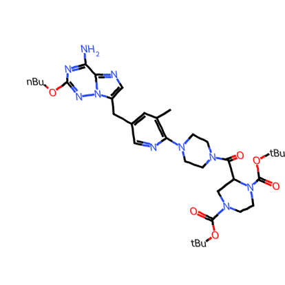 CCCCOc1nc(N)c2ncc(Cc3cnc(N4CCN(C(=O)C5CN(C(=O)OC(C)(C)C)CCN5C(=O)OC(C)(C)C)CC4)c(C)c3)n2n1